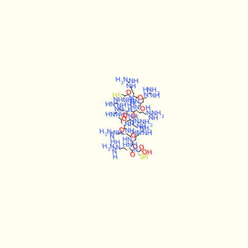 N=C(N)NCCC[C@H](NC(=O)[C@H](CCCNC(=N)N)NC(=O)[C@H](CCCNC(=N)N)NC(=O)[C@H](CCCNC(=N)N)NC(=O)[C@H](CCCNC(=N)N)NC(=O)[C@H](CCCNC(=N)N)NC(=O)[C@H](CCCNC(=N)N)NC(=O)[C@H](CCCNC(=N)N)NC(=O)[C@H](CCCNC(=N)N)NC(=O)[C@@H](N)CS)C(=O)N[C@@H](CS)C(=O)O